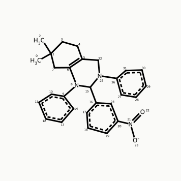 CC1(C)CCC2=C(C1)N(c1ccccc1)C(c1cccc([N+](=O)[O-])c1)N(c1ccccc1)C2